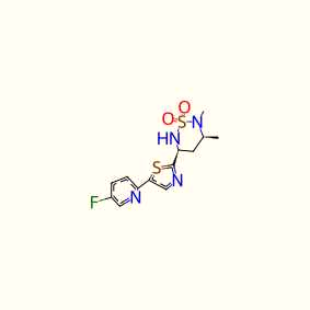 C[C@H]1C[C@@H](c2ncc(-c3ccc(F)cn3)s2)NS(=O)(=O)N1C